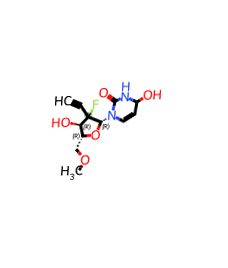 C#C[C@@]1(F)[C@H](O)[C@@H](COC)O[C@H]1N1C=CC(O)NC1=O